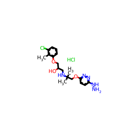 Cc1c(Cl)cccc1OCC(O)CNC(C)(C)COc1ccc(NN)nn1.Cl